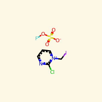 Clc1nccc[n+]1CI.O=S(=O)([O-])OF